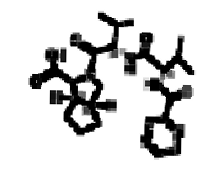 CC(C)[C@H](NC(=O)c1cnccn1)C(=O)N[C@H](C(=O)N1C[C@@H]2CCC[C@@H]2C1C(=O)O)C(C)C